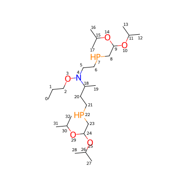 CCCON(CCPCC(OC(C)C)OC(C)C)C(C)CCPCC(OC(C)C)OC(C)C